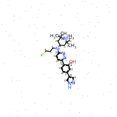 CC1(C)CC(N(CCCF)c2ccc(-c3ccc(-c4cn[nH]c4)cc3O)nn2)CC(C)(C)N1